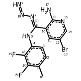 Cc1ccc(N/C(=N\N=N)c2cc(Br)cnc2N)c(F)c1F